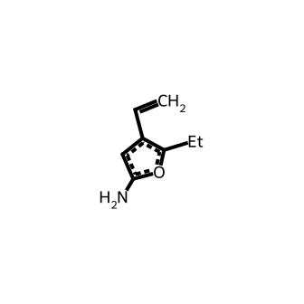 C=Cc1cc(N)oc1CC